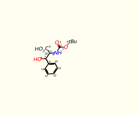 CC(C)(C)OC(=O)N[C@H](C(=O)O)C(O)c1ccccc1